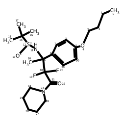 CCCCOc1ccc(C(C)(N[S+]([O-])C(C)(C)C)C(F)(F)C(=O)N2CCCCC2)cc1